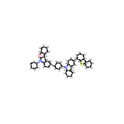 c1ccc(-n2c3ccc(-c4ccc(-n5c6ccccc6c6cc(-c7cccc8c7sc7ccccc78)ccc65)cc4)cc3c3c4ccccc4oc32)cc1